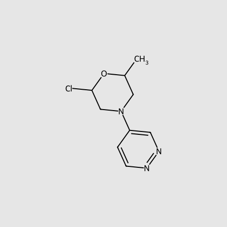 CC1CN(c2ccnnc2)CC(Cl)O1